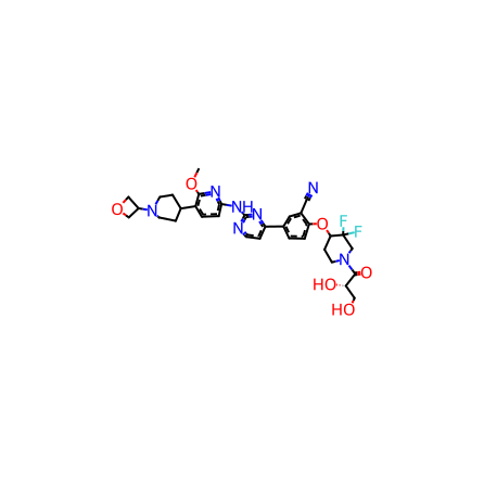 COc1nc(Nc2nccc(-c3ccc(OC4CCN(C(=O)[C@@H](O)CO)CC4(F)F)c(C#N)c3)n2)ccc1C1CCN(C2COC2)CC1